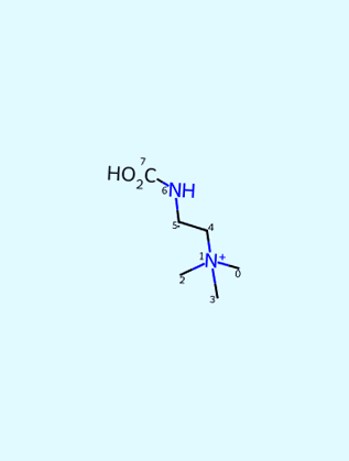 C[N+](C)(C)C[CH]NC(=O)O